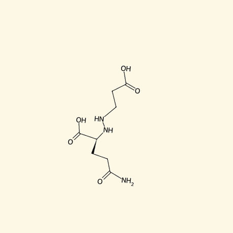 NC(=O)CC[C@H](NNCCC(=O)O)C(=O)O